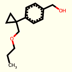 CCCOCC1(c2ccc(CO)cc2)CC1